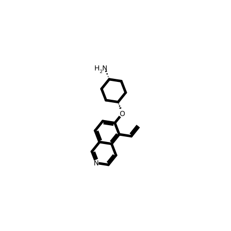 C=Cc1c(O[C@H]2CC[C@@H](N)CC2)ccc2cnccc12